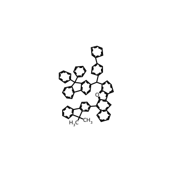 CC1(C)c2ccccc2-c2ccc(-c3c4ccccc4cc4c3oc3c(C(c5ccc(-c6ccccc6)cc5)c5ccc6c(c5)C(c5ccccc5)(c5ccccc5)c5ccccc5-6)cccc34)cc21